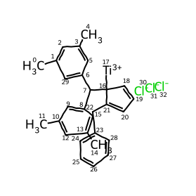 Cc1cc(C)cc(C(c2cc(C)cc(C)c2)[C]2([Ti+3])C=CC=C2Cc2ccccc2)c1.[Cl-].[Cl-].[Cl-]